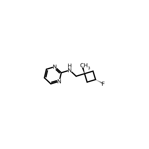 C[C@]1(CNc2ncccn2)C[C@@H](F)C1